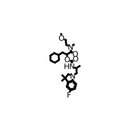 COCCN(C)C(=O)C(CC1CCCCC1)OC(=O)NC(C)CN1CC(C)(C)c2cc(F)ccc21